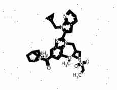 CCS(=O)(=O)N1CC(Cn2c(-c3cc4cccnc4n3CC3CC3)nc3cc(C(=O)N4CC5CCC4[C@@H]5N)cc(OC)c32)C1